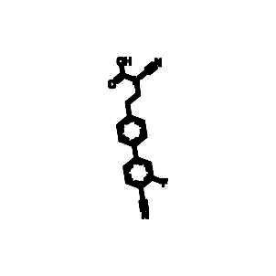 N#Cc1ccc(-c2ccc(CCN(C#N)C(=O)O)cc2)cc1F